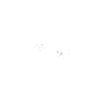 CC1(C)CC1C(=O)N/C(=C/CCCCCNC12CC3CC(CC(C3)C1)C2)C(=O)O